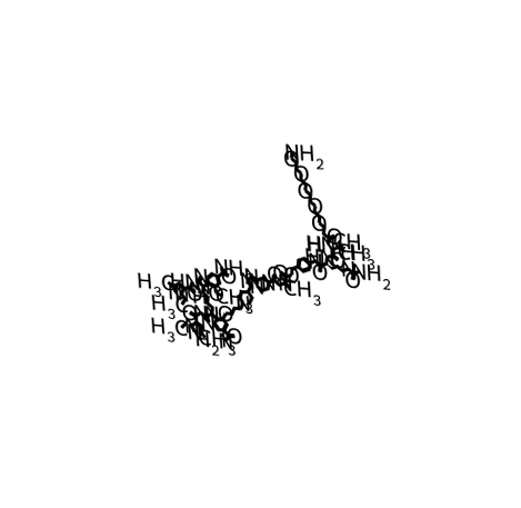 CCn1nc(C)cc1C(=O)Nc1nc2cc(C(N)=O)cc(OC)c2n1C/C=C/Cn1c(NC(=O)c2cc(C)nn2CC)nc2cc(C(N)=O)cc(OCCCN3CCC(c4nnc5n4CCN(C(=O)CN(C)C(=O)OCc4ccc(NC(=O)[C@H](CCCNC(N)=O)NC(=O)[C@@H](NC(=O)CCOCCOCCOCCOCCON)C(C)C)cc4)C5)CC3)c21